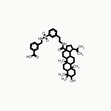 C=C(C)C1CCC2(C(=O)NCCc3cccc(S(=O)(=O)NCc4cccc(C(=O)O)c4)c3)CCC3C(CCC4C3(C)CCC3C(C)(C)C(O)CCC34C)C12